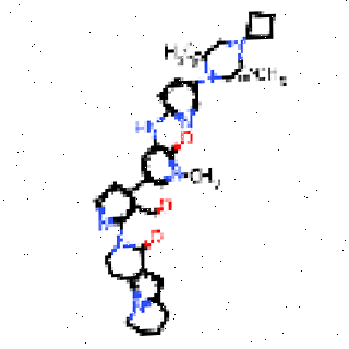 C[C@@H]1CN(c2ccc(Nc3cc(-c4ccnc(N5CCc6c(cc7n6CCCC7)C5=O)c4C=O)cn(C)c3=O)nc2)[C@@H](C)CN1C1CCC1